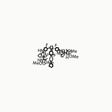 COC(=O)N[C@H](C(=O)N1CCC[C@H]1c1nc2cc([C@H]3CC[C@H](c4cc5nc([C@@H]6CCCN6C(O)[C@@H](NC(=O)OC)[C@@H](C)OC)[nH]c5cc4F)N3c3cc(F)c(N4CCC(c5ccccc5)CC4)c(F)c3)c(F)cc2[nH]1)[C@@H](C)OC